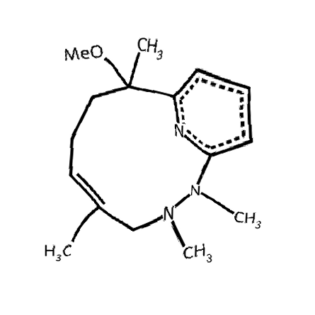 COC1(C)CC/C=C(/C)CN(C)N(C)c2cccc1n2